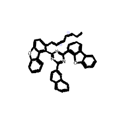 C=C/C=C\C=C/Cc1ccc2oc3ccccc3c2c1-c1nc(-c2ccc3ccccc3c2)nc(-c2cccc3c2oc2ccccc23)n1